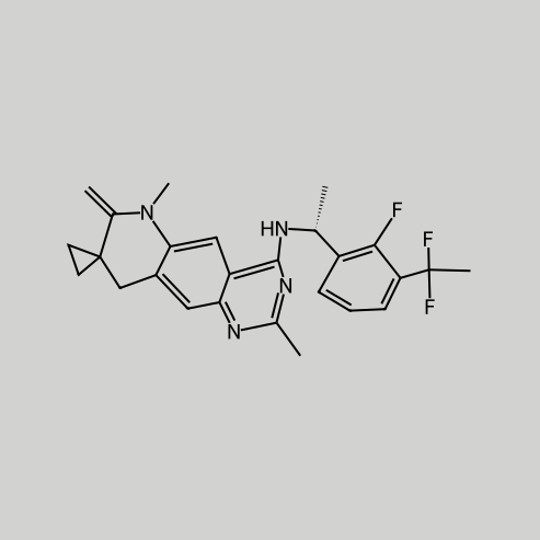 C=C1N(C)c2cc3c(N[C@H](C)c4cccc(C(C)(F)F)c4F)nc(C)nc3cc2CC12CC2